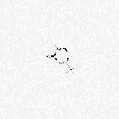 Cc1c[nH]c(C(F)(F)F)nc1=N